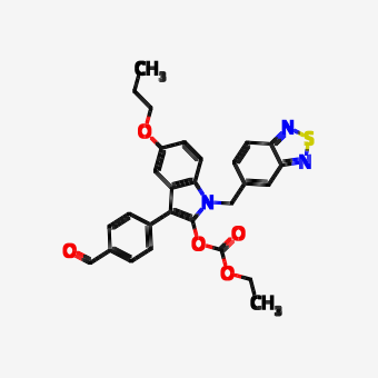 CCCOc1ccc2c(c1)c(-c1ccc(C=O)cc1)c(OC(=O)OCC)n2Cc1ccc2nsnc2c1